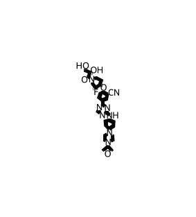 N#Cc1cc(-c2ncnc(Nc3ccc(N4CCN(C5COC5)CC4)cc3)n2)ccc1O[C@H]1CCN(C(=O)[C@@H](O)CO)C[C@@H]1F